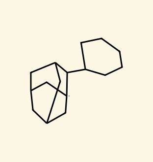 C1CCC(C2[C]3CC4CC(C3)CC2C4)CC1